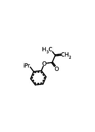 C=C(C)C(=O)Oc1ccccc1C(C)C